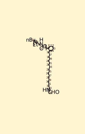 CCCCN(CC)CCNC(=O)OCc1ccccc1CCCCCCCCCCCCCCCCCCNC=O